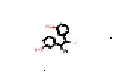 CCCC(c1cccc(O)c1)C(CCC)c1cccc(O)c1